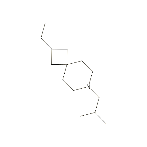 CCC1CC2(CCN(CC(C)C)CC2)C1